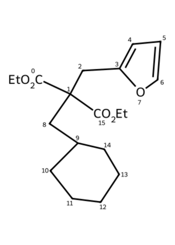 CCOC(=O)C(Cc1ccco1)(CC1CCCCC1)C(=O)OCC